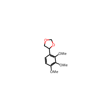 COc1ccc(C2COCO2)c(OC)c1OC